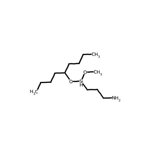 CCCCC(CCCC)O[SiH](CCCN)OC